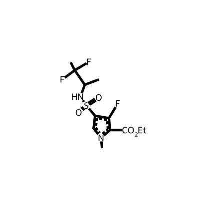 CCOC(=O)c1c(F)c(S(=O)(=O)NC(C)C(C)(F)F)cn1C